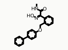 CNC(=O)C(=NO)c1ccccc1COc1ccc(-c2ccccc2)cc1